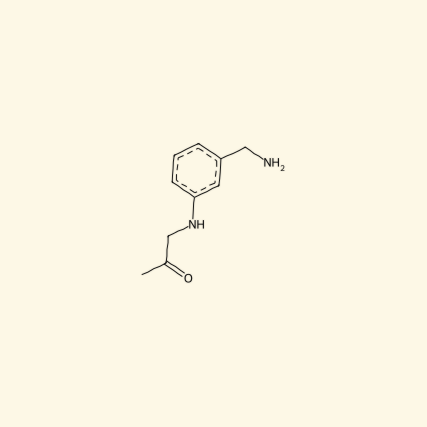 CC(=O)CNc1cccc(CN)c1